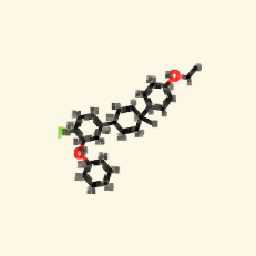 CCOc1ccc(C2(C)C=CC(c3ccc(F)c(Oc4ccccc4)c3)C=C2)cc1